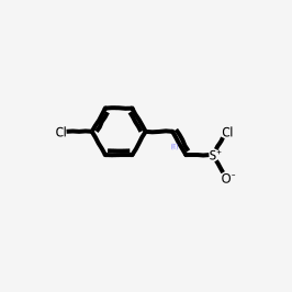 [O-][S+](Cl)/C=C/c1ccc(Cl)cc1